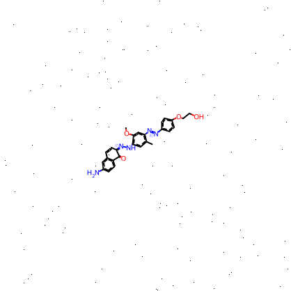 COc1cc(/N=N/c2ccc(OCCO)cc2)c(C)cc1N/N=C1/C=Cc2cc(N)ccc2C1=O